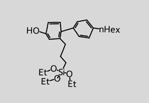 CCCCCCc1ccc(-c2ccc(O)cc2CCC[Si](OCC)(OCC)OCC)cc1